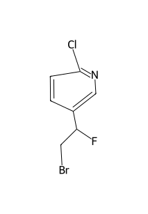 FC(CBr)c1ccc(Cl)nc1